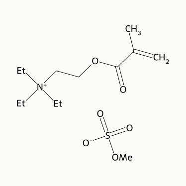 C=C(C)C(=O)OCC[N+](CC)(CC)CC.COS(=O)(=O)[O-]